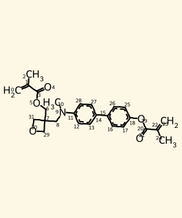 C=C(C)C(=O)OCC1(CN(C)c2ccc(-c3ccc(OC(=O)C(=C)C)cc3)cc2)COC1